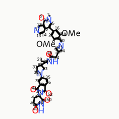 COc1cc(-c2cn(C)c(=O)c3cnccc23)cc(OC)c1CN1CC(CC(=O)N[C@@H]2C[C@]23CCN(c2ccc4c(c2)C(=O)N(C2CCC(=O)NC2=O)C4=O)C3)C1